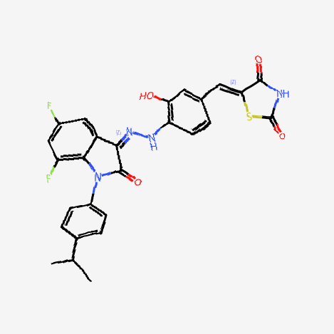 CC(C)c1ccc(N2C(=O)/C(=N\Nc3ccc(/C=C4\SC(=O)NC4=O)cc3O)c3cc(F)cc(F)c32)cc1